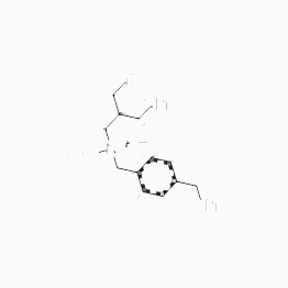 CC(C)Cc1ccc(C[N+](C)(C)CC(CC(C)C)CC(C)C)cc1